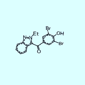 CCn1nc2ccccc2c1C(=O)c1cc(Br)c(O)c(Br)c1